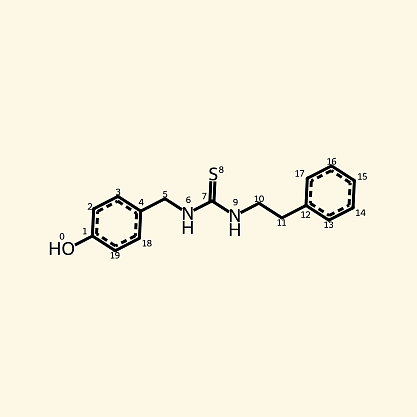 Oc1ccc(CNC(=S)NCCc2ccccc2)cc1